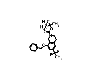 CC(C)(C)OC(=O)N1CCc2cc(C(C)(F)F)cc(OCc3ccccc3)c2C1